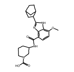 COc1ccc(C(=O)NC2CCCN(C(=O)O)C2)c2nc(C3CC4CCC3C4)[nH]c12